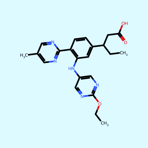 CCOc1ncc(Nc2cc(C(CC)CC(=O)O)ccc2-c2ncc(C)cn2)cn1